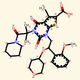 COc1ccccc1C(Cn1c(=O)n(C(C)(C)C(=O)N2CCCCC2)c(=O)c2c(C)c(C(=O)O)sc21)OC1CCOCC1